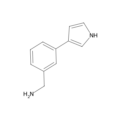 NCc1cccc(-c2cc[nH]c2)c1